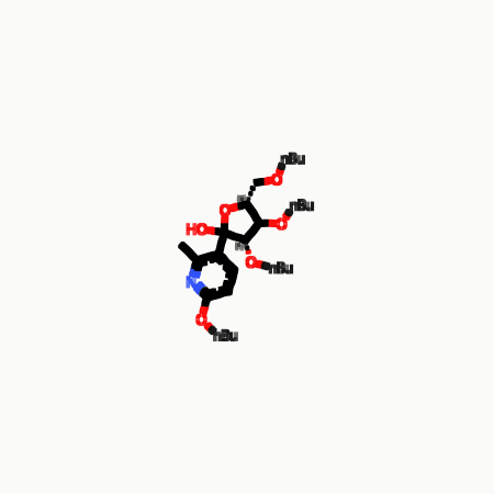 CCCCOC[C@H]1OC(O)(c2ccc(OCCCC)nc2C)[C@@H](OCCCC)C1OCCCC